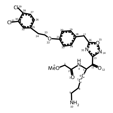 COCC(=O)NC(CCCCN)C(=O)c1noc(Cc2ccc(OCCc3ccc(Cl)c(Cl)c3)cc2)n1